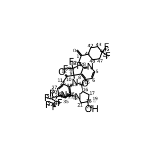 C=C(Cc1ncccc1C(C(C)=O)(N(C(=O)[C@H]1C[C@@](C)(O)CN1C#N)c1ccc(S(F)(F)(F)(F)F)cc1)C(F)(F)F)C1CCC(F)(F)CC1